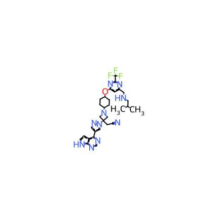 CC(C)CNCc1cc(OC2CCC(N3CC(CC#N)(n4cc(-c5ncnc6[nH]ccc56)cn4)C3)CC2)nc(C(F)(F)F)n1